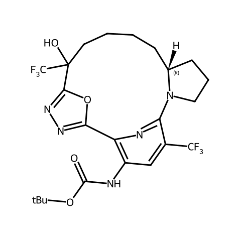 CC(C)(C)OC(=O)Nc1cc(C(F)(F)F)c2nc1-c1nnc(o1)C(O)(C(F)(F)F)CCCC[C@@H]1CCCN21